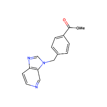 COC(=O)c1ccc(Cn2cnc3ccncc32)cc1